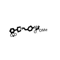 COC(C)C(=O)NC1CCC(CCN2CCC(c3cccc4c3OCO4)CC2)CC1